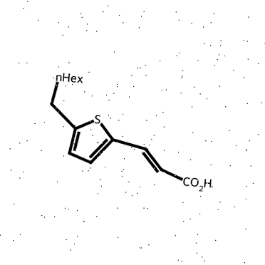 CCCCCCCc1ccc(C=CC(=O)O)s1